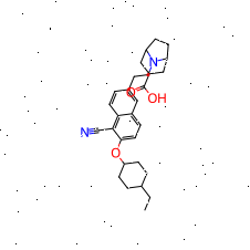 CCC1CCC(Oc2ccc3cc(CCN4C5CCC4CC(C(=O)O)C5)ccc3c2C#N)CC1